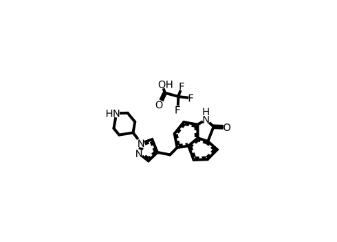 O=C(O)C(F)(F)F.O=C1Nc2ccc(Cc3cnn(C4CCNCC4)c3)c3cccc1c23